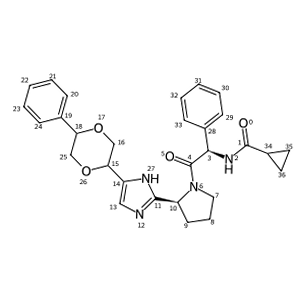 O=C(N[C@@H](C(=O)N1CCC[C@H]1c1ncc(C2COC(c3ccccc3)CO2)[nH]1)c1ccccc1)C1CC1